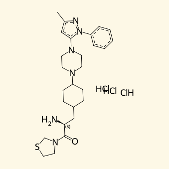 Cc1cc(N2CCN(C3CCC(C[C@H](N)C(=O)N4CCSC4)CC3)CC2)n(-c2ccccc2)n1.Cl.Cl.Cl